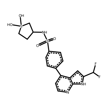 O=S(=O)(NC1CCS(O)(O)C1)c1ccc(-c2ccnc3[nH]c(C(F)F)cc23)cc1